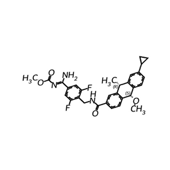 COC(=O)N=C(N)c1cc(F)c(CNC(=O)c2ccc3c(c2)[C@H](C)c2cc(C4CC4)ccc2[C@@H]3OC)c(F)c1